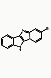 CCc1ccn2c(c1)nc1c3ccccc3[nH]c12